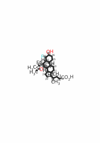 CC[C@H]1[C@@H](O[Si](C)(C)C)[C@@H]2[C@H](CC[C@]3(C)[C@@H]([C@H](C)CCC(=O)O)CC[C@@H]23)[C@@]2(C)CC[C@@H](O)[C@H](F)[C@@H]12